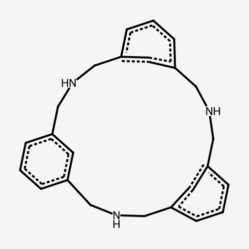 c1cc2cc(c1)CNCc1cccc(c1)CNCc1cccc(c1)CNC2